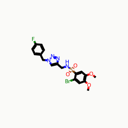 COc1cc(Br)c(S(=O)(=O)NCc2cn(Cc3ccc(F)cc3)nn2)cc1OC